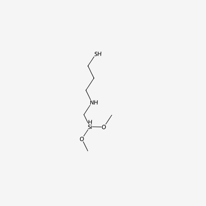 CO[SiH](CNCCCS)OC